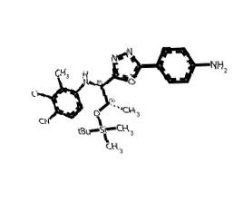 [C-]#[N+]c1ccc(N[C@@H](c2nnc(-c3ccc(N)cc3)o2)[C@H](C)O[Si](C)(C)C(C)(C)C)c(C)c1Cl